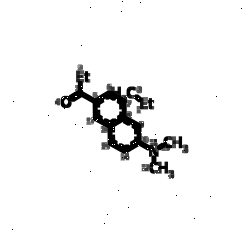 CCC.CCC(=O)c1ccc2cc(N(C)C)ccc2c1